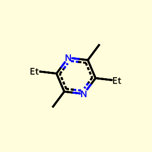 CCc1nc(C)c(CC)nc1C